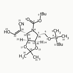 CC(C)(C)OC(=O)N1[C@H](CO[Si](C)(C)C(C)(C)C)[C@H]2OC(C)(C)O[C@H]2[C@@H]1C(C#N)=CO